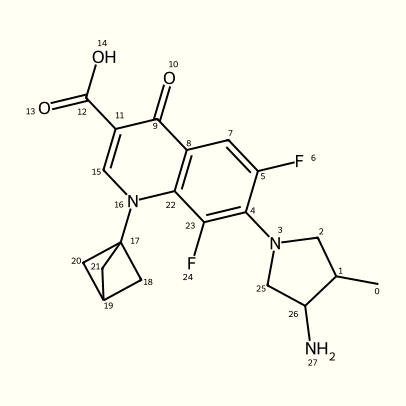 CC1CN(c2c(F)cc3c(=O)c(C(=O)O)cn(C45CC(C4)C5)c3c2F)CC1N